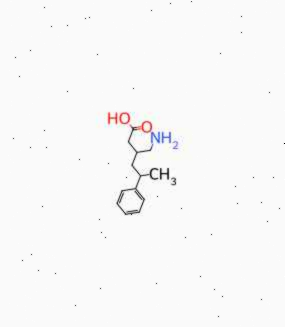 CC(CC(CN)CC(=O)O)c1ccccc1